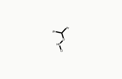 CC(C)C(OPCl)C(C)C